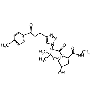 CNC(=O)C1CC(O)CN1C(=O)[C@@H](n1cc(CCC(=O)c2ccc(C)cc2)nn1)C(C)(C)C